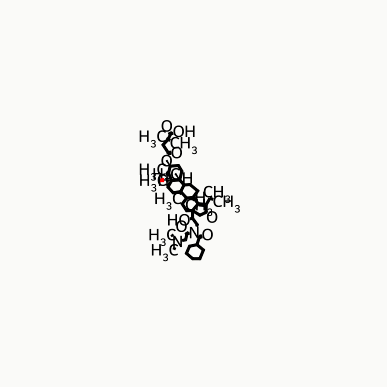 CC(C)C1=C2[C@H]3CC[C@@H]4[C@@]5(C)CC[C@H](OC(=O)CC(C)(C)C(=O)O)C(C)(C)[C@@H]5CC[C@@]4(C)[C@]3(C)CCC2(C(O)CN(C(=O)CN(C)C)C(=O)C2CCCCC2)CC1=O